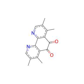 Cc1cnc2c(c1C)C(=O)C(=O)c1c-2ncc(C)c1C